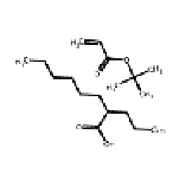 C=CC(=O)OC(C)(C)C.CCCCCCC(CCC)C(=O)O